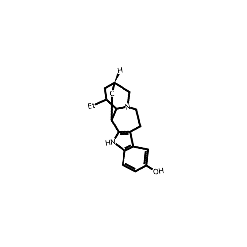 CCC1C[C@H]2CC3c4[nH]c5ccc(O)cc5c4CCN(C2)C13